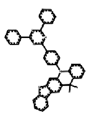 CC1(C)c2ccccc2N(c2ccc(-c3nc(-c4ccccc4)nc(-c4ccccc4)n3)cc2)c2cc3oc4ccccc4c3cc21